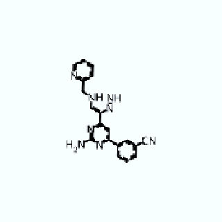 N#Cc1cccc(-c2cc(/C(=C/NCc3ccccn3)N=N)nc(N)n2)c1